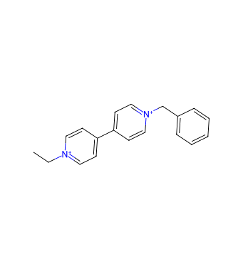 CC[n+]1ccc(-c2cc[n+](Cc3ccccc3)cc2)cc1